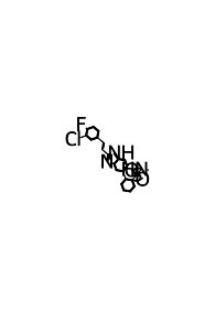 CNS(=O)(=O)c1ccccc1-c1ccc2[nH]c(C=Cc3ccc(F)c(Cl)c3)nc2c1